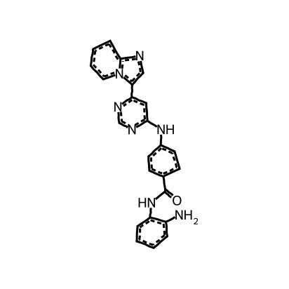 Nc1ccccc1NC(=O)c1ccc(Nc2cc(-c3cnc4ccccn34)ncn2)cc1